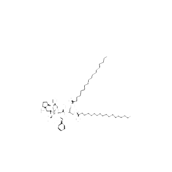 CCCCCCCCCCCCCCCCCC(=O)OCC(COC(=O)CCCCCCCCCCCCCCCCC)OC(=O)[C@H](CCc1ccccc1)N[C@@H](C)C(=O)N1[C@@H](OC(=O)O)C[C@@H]2CCC[C@@H]21